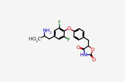 NC(Cc1cc(F)c(Oc2ccc(CC3OC(=O)NC3=O)cc2)c(F)c1)C(=O)O